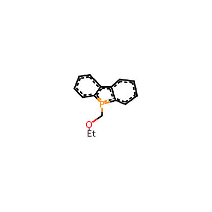 CCOCp1c2ccccc2c2ccccc21